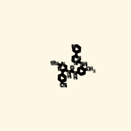 Cc1ccc(NC(=O)Nc2cnc(C(C)(C)C)nc2-c2ccc(C#N)cc2)cc1Nc1nccc(-c2cccnc2)n1